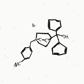 N#Cc1ccc(C[N+]23CCC(C(O)(c4ccccc4)c4ccccc4)(CC2)CC3)cc1.[Br-]